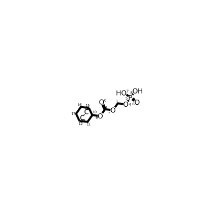 O=C(OCOP(=O)(O)O)OC1CC2CCC1CC2